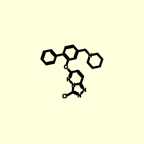 Clc1nnc2ccc(Oc3cc(CN4CCCCC4)ccc3-c3ccccc3)nn12